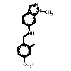 Cn1ncc2ccc(NCc3ccc(C(=O)O)cc3F)cc21